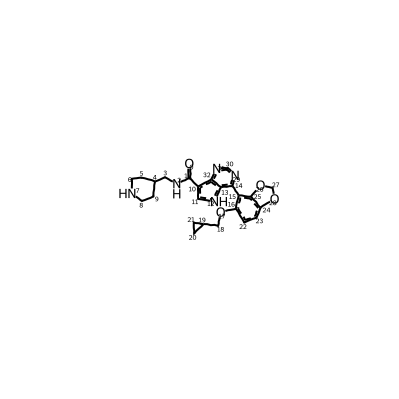 O=C(NCC1CCNCC1)c1c[nH]c2c(-c3c(OCC4CC4)ccc4c3OCO4)ncnc12